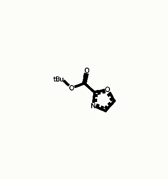 CC(C)(C)OC(=O)c1ncco1